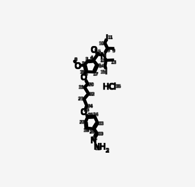 COc1cc(C(=O)N(C(C)CI)C(C)CI)ccc1OCCCCCOc1ccc(C=NN)cc1.Cl